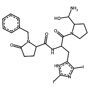 NC(O)C1CCCN1C(=O)C(Cc1[nH]c(I)nc1I)NC(=O)C1CCC(=O)N1Cc1ccccc1